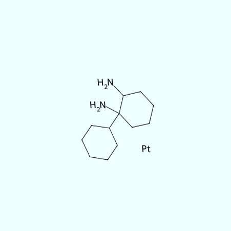 NC1CCCCC1(N)C1CCCCC1.[Pt]